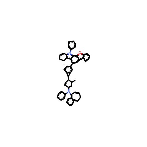 CC1C=C(N(C2=c3ccccc3=CCC=C2)c2ccccc2)C=CC1C1c2ccc(-c3cc4c5ccccc5oc4c4c3c3c(n4-c4ccccc4)C=CC[C@H]3C)cc21